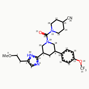 COCCc1cnc(C2CC(c3ccc(OC(F)(F)F)cc3)CN(C(=O)N3CCC(C#N)CC3)C2)[nH]1